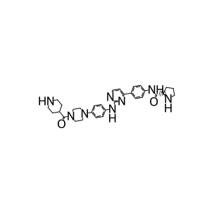 O=C(Nc1ccc(-c2ccnc(Nc3ccc(N4CCN(C(=O)C5CCNCC5)CC4)cc3)n2)cc1)[C@@H]1CCCN1